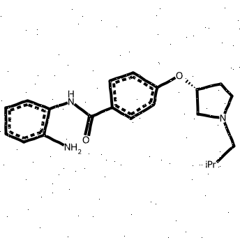 CC(C)CN1CC[C@@H](Oc2ccc(C(=O)Nc3ccccc3N)cc2)C1